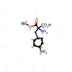 CC(C)(C)OC(=O)C(N)(Cc1ccc([N+](=O)[O-])cc1)C(=O)O